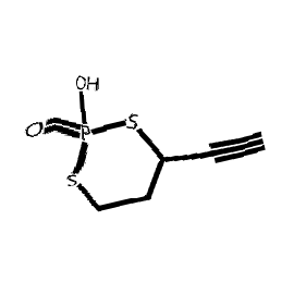 C#CC1CCSP(=O)(O)S1